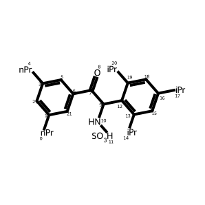 CCCc1[c]c(CCC)cc(C(=O)C(NS(=O)(=O)O)c2c(C(C)C)cc(C(C)C)cc2C(C)C)c1